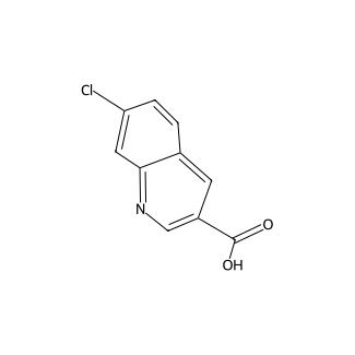 O=C(O)c1cnc2cc(Cl)ccc2c1